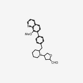 COc1c(-c2ccc(CC3CCCCN3C3COC(C=O)C3)cc2)ccc2cccnc12